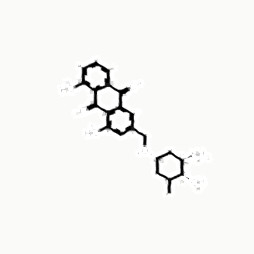 CC1C[C@H](OCc2cc(O)c3c(c2)C(=O)c2cccc(O)c2C3=O)C[C@@H](N)[C@H]1O